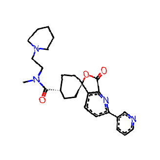 CN(CCN1CCCCC1)C(=O)[C@H]1CC[C@@]2(CC1)OC(=O)c1nc(-c3cccnc3)ccc12